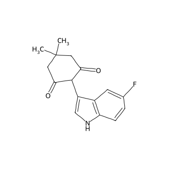 CC1(C)CC(=O)C(c2c[nH]c3ccc(F)cc23)C(=O)C1